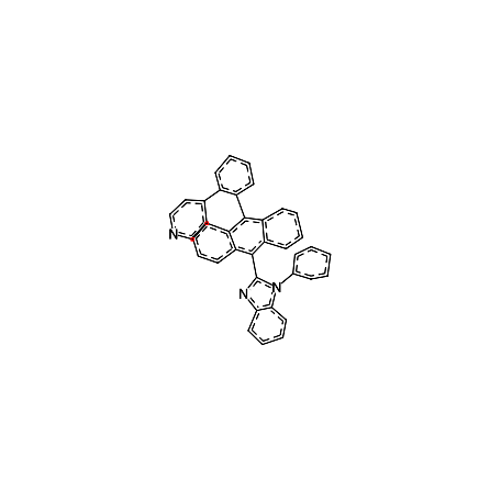 c1ccc(-n2c(-c3c4ccccc4c(-c4ccccc4-c4ccncc4)c4ccccc34)nc3ccccc32)cc1